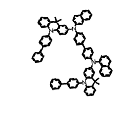 CC1(C)c2ccccc2N(c2ccc(-c3ccccc3)cc2)c2ccc(N(c3ccc(-c4ccc(N(c5ccc6c(c5)C(C)(C)c5ccccc5N6c5ccc(-c6ccccc6)cc5)c5cccc6ccccc56)cc4)cc3)c3ccc4ccccc4c3)cc21